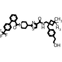 CC1(C)CC(CNC(=O)c2csc(C3CCN(C(=O)c4ccccc4-c4ccc(C(F)(F)F)cc4)CC3)n2)(Cc2ccc(CCO)cc2)C1